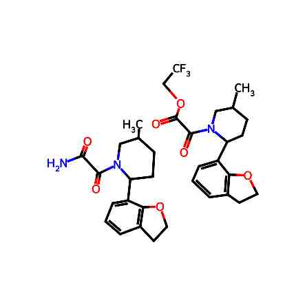 CC1CCC(c2cccc3c2OCC3)N(C(=O)C(=O)OCC(F)(F)F)C1.CC1CCC(c2cccc3c2OCC3)N(C(=O)C(N)=O)C1